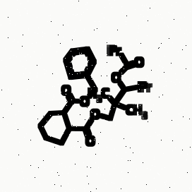 CC(C)C(=O)OC(C(C)C)C(C)(C)COC(=O)C1CCCCC1C(=O)OCc1ccccc1